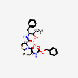 CC(C)C[C@H](NC(=O)OCc1ccccc1)C(=O)N1CSC[C@H]1C(=O)N[C@@H](Cc1ccccc1)C(O)C(=O)O